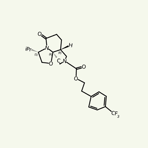 CC(C)[C@H]1CO[C@]23CCN(C(=O)OCCc4ccc(C(F)(F)F)cc4)C[C@H]2CCC(=O)N13